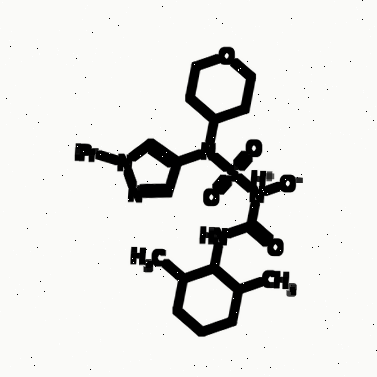 CC1CCCC(C)C1NC(=O)[NH+]([O-])S(=O)(=O)N(c1cnn(C(C)C)c1)C1CCOCC1